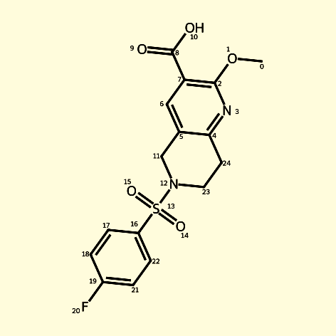 COc1nc2c(cc1C(=O)O)CN(S(=O)(=O)c1ccc(F)cc1)CC2